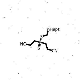 CCCCCCCCSP(=S)(CCC#N)CCC#N